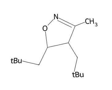 CC1=NOC(CC(C)(C)C)C1CC(C)(C)C